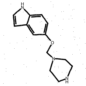 c1cc2cc(OCN3CCNCC3)ccc2[nH]1